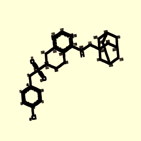 O=S(=O)(Cc1ccc(Cl)cc1)N1CCc2c(ncnc2NCC23CC4CC(CC(C4)C2)C3)C1